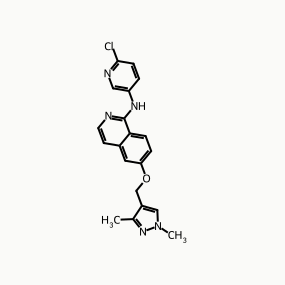 Cc1nn(C)cc1COc1ccc2c(Nc3ccc(Cl)nc3)nccc2c1